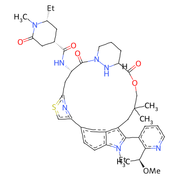 CC[C@@H]1C[C@H](C(=O)N[C@H]2Cc3nc(cs3)-c3ccc4c(c3)c(c(-c3cccnc3[C@H](C)OC)n4CC)CC(C)(C)COC(=O)[C@@H]3CCCN(N3)C2=O)CC(=O)N1C